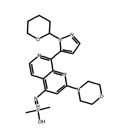 C[SH](C)(O)=Nc1cc(N2CCOCC2)nc2c(-c3ccnn3C3CCCCO3)nccc12